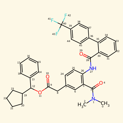 CN(C)C(=O)c1cc(CC(=O)OC(c2ccccc2)C2CCCC2)ccc1NC(=O)c1ccccc1-c1ccc(C(F)(F)F)cc1